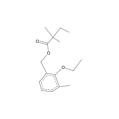 [CH2]COc1c(C)cccc1COC(=O)C(C)(C)CC